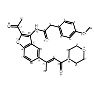 COc1ccc(CC(=O)Nc2c(C(C)=O)oc3ccc(C(C)=CC(=O)N4CCOCC4)cc23)cc1